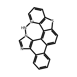 c1ccc2c(c1)c1ccc3sc4ccc[n+]5[nH]n6cnc2c6c1c3c45